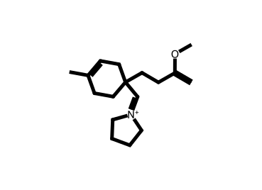 C=C(CCC1(C=[N+]2CCCC2)CC=C(C)CC1)OC